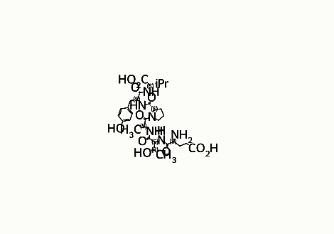 CC(C)[C@H](NC(=O)[C@H](Cc1ccc(O)cc1)NC(=O)[C@@H]1CCCN1C(=O)[C@H](C)NC(=O)[C@@H](NC(=O)[C@@H](N)CCC(=O)O)[C@@H](C)O)C(=O)O